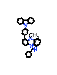 CN1c2c(-c3ccc(-n4c5ccccc5c5ccccc54)cc3)cccc2-n2c(-c3ccccc3)nc3cccc1c32